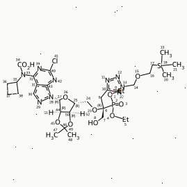 CCOP(=O)(OCC)[C@@](CO)(Cc1nnn(COCC[Si](C)(C)C)n1)OC[C@H]1O[C@@H](n2ncc3c(N(C(=O)O)C4CCC4)nc(Cl)nc32)[C@@H]2OC(C)(C)O[C@@H]21